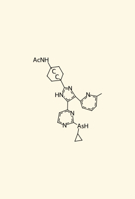 CC(=O)NC12CCC(c3nc(-c4cccc(C)n4)c(-c4ccnc([AsH]C5CC5)n4)[nH]3)(CC1)CC2